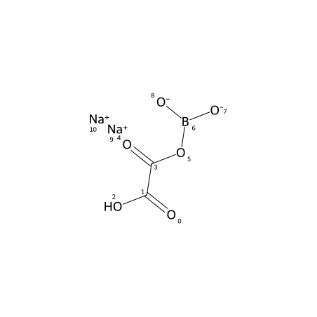 O=C(O)C(=O)OB([O-])[O-].[Na+].[Na+]